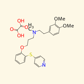 COc1ccc(CCN(C)CCCOc2ccccc2Sc2ccncc2)cc1OC.O=C(O)C(=O)O